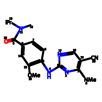 CNc1nc(Nc2ccc(C(=O)N(C)C(C)C)cc2OC)ncc1C#N